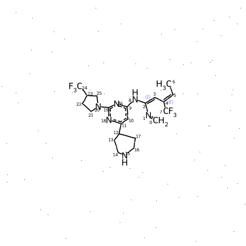 C=N/C(=C\C(=C/C)C(F)(F)F)Nc1cc(C2CCNCC2)nc(N2CCC(C(F)(F)F)C2)n1